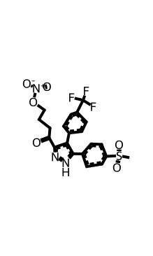 CS(=O)(=O)c1ccc(-c2[nH]nc(C(=O)CCCO[N+](=O)[O-])c2-c2ccc(C(F)(F)F)cc2)cc1